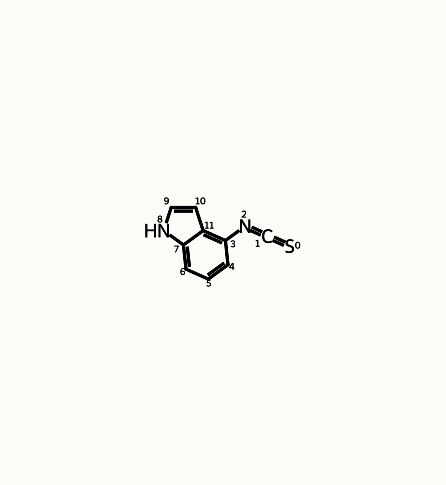 S=C=Nc1cccc2[nH]ccc12